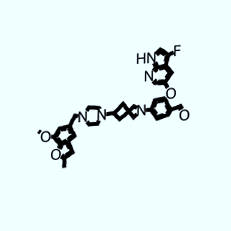 COc1cc(CN2CCN(C3CC4(C3)CN(c3ccc(C=O)c(Oc5cnc6[nH]cc(F)c6c5)c3)C4)CC2)cc2cc(C)oc12